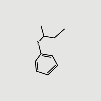 CCC(C)Sc1cc[c]cc1